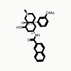 COc1cccc([C@@]23CCN(C)C[C@H]2C(O)C[C@@H](NC(=O)c2ccc4ccccc4c2)C3)c1